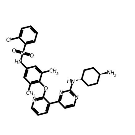 Cc1cc(NS(=O)(=O)c2ccccc2Cl)cc(C)c1Oc1ncccc1-c1ccnc(N[C@H]2CC[C@H](N)CC2)n1